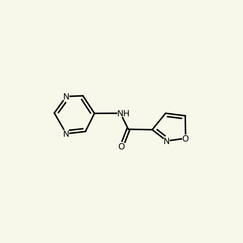 O=C(Nc1cncnc1)c1ccon1